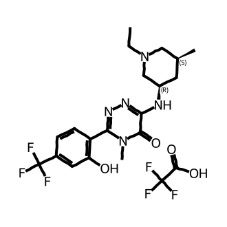 CCN1C[C@@H](C)C[C@@H](Nc2nnc(-c3ccc(C(F)(F)F)cc3O)n(C)c2=O)C1.O=C(O)C(F)(F)F